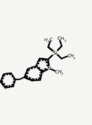 CC[Si](CC)(CC)c1cc2cc(-c3ccccc3)ccc2n1C